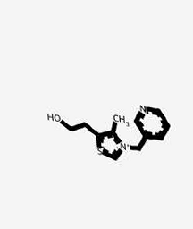 Cc1c(CCO)sc[n+]1Cc1cccnc1